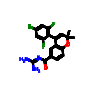 CC1(C)C=C(c2c(F)cc(F)cc2F)c2cc(C(=O)N=C(N)N)ccc2O1